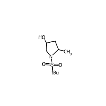 CC1CC(O)CN1S(=O)(=O)C(C)(C)C